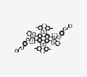 Cc1cc(C)cc(Oc2cc3c4c(cc(Oc5cc(C)cc(C)c5)c5c6c(Oc7cc(C)cc(C)c7)cc7c8c(cc(Oc9cc(C)cc(C)c9)c(c2c45)c86)C(=O)N(C(C(=O)Oc2ccc(OCC4CO4)cc2)C2CCCCC2)C7=O)C(=O)N(C(C(=O)Oc2ccc(OCC4CO4)cc2)C2CCCCC2)C3=O)c1